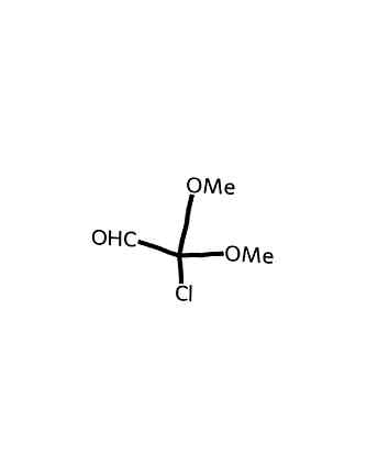 COC(Cl)(C=O)OC